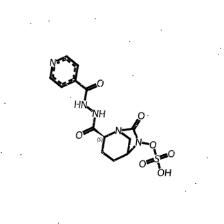 O=C(NNC(=O)[C@@H]1CCC2CN1C(=O)N2OS(=O)(=O)O)c1ccncc1